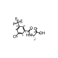 C[C@H](NC(=O)c1cc(Cl)cc(C(F)(F)F)c1)C(=O)O